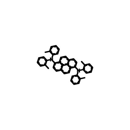 Cc1ccccc1N(c1ccccc1C)c1ccc2ccc3c(N(c4ccccc4C)c4ccccc4C)ccc4ccc1c2c43